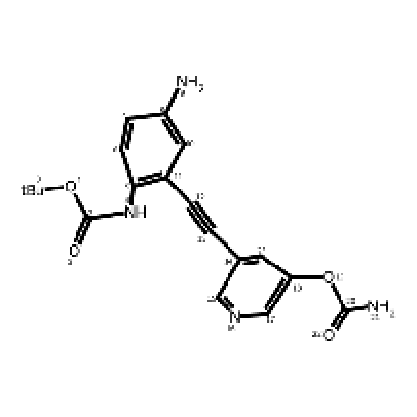 CC(C)(C)OC(=O)Nc1ccc(N)cc1C#Cc1cncc(OC(N)=O)c1